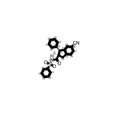 C[C@@]1(C(=O)NS(=O)(=O)c2ccccc2)Cc2ccc(C#N)cc2[C@@H]1c1ccccc1